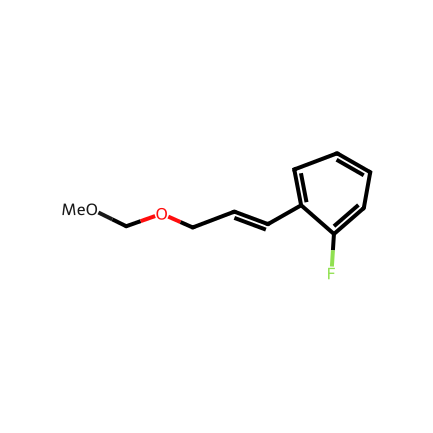 COCOC/C=C/c1ccccc1F